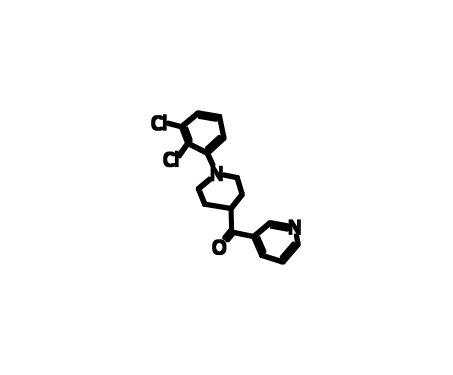 O=C(c1cccnc1)C1CCN(c2cccc(Cl)c2Cl)CC1